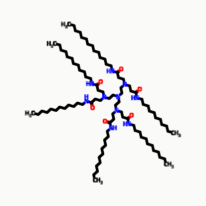 CCCCCCCCCCCCCCNC(=O)CCN(CCC(=O)NCCCCCCCCCCC)CCN(CCN(CCC(=O)NCCCCCCCCCCCC)CCC(=O)NCCCCCCCCCCCC)CCN(CCC(=O)NCCCCCCCCCCCC)CCC(=O)NCCCCCCCCCCCC